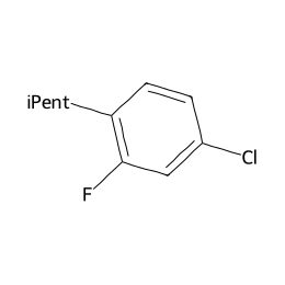 CCCC(C)c1ccc(Cl)cc1F